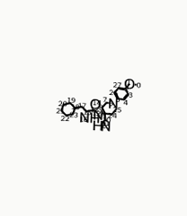 COc1ccc(N2CCC(C#N)(NC(=O)C(N)CC3CCCCC3)CC2)cc1